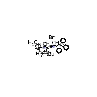 C/C(=C\C[C@H](O[Si](C)(C)C(C)(C)C)/C(C)=C/c1csc(C)n1)CC[P+](c1ccccc1)(c1ccccc1)c1ccccc1.[Br-]